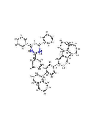 c1ccc(-c2cc(-c3ccccc3)nc(-c3ccc(-c4ccc5ccccc5c4-c4ccc(-c5ccc6c(c5)-c5cccc7cccc-6c57)cc4)cc3)n2)cc1